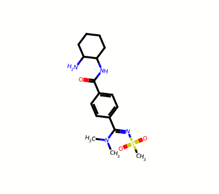 CN(C)C(=NS(C)(=O)=O)c1ccc(C(=O)NC2CCCCC2N)cc1